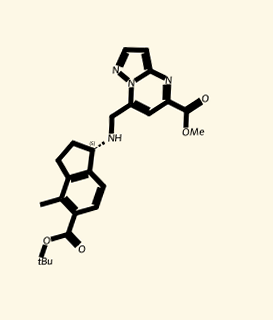 COC(=O)c1cc(CN[C@H]2CCc3c2ccc(C(=O)OC(C)(C)C)c3C)n2nccc2n1